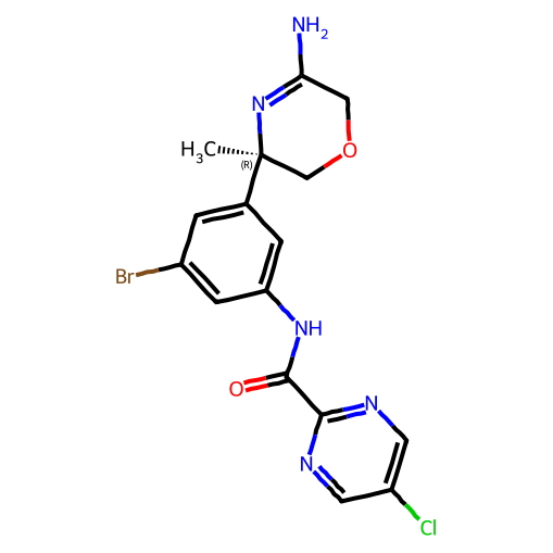 C[C@@]1(c2cc(Br)cc(NC(=O)c3ncc(Cl)cn3)c2)COCC(N)=N1